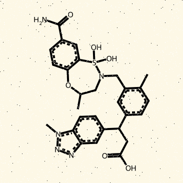 Cc1ccc(C(CC(=O)O)c2ccc3c(c2)nnn3C)cc1CN1CC(C)Oc2ccc(C(N)=O)cc2S1(O)O